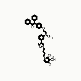 CCC(=C(c1ccccc1)c1ccc(OCCN(C)c2cccc(-c3cn(CCCCn4ccc(=O)c(O)c4C)nn3)c2)cc1)c1ccccc1